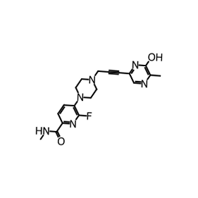 CNC(=O)c1ccc(N2CCN(CC#Cc3cnc(C)c(O)n3)CC2)c(F)n1